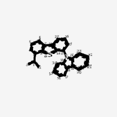 CC(C)c1cccc2c1sc1c(-n3c4ccccc4c4ccccc43)cccc12